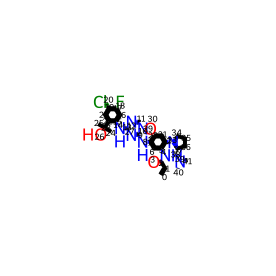 C=CC(=O)Nc1cc(Nc2ncnc(Nc3cc(F)c(Cl)cc3C(C)(C)O)n2)c(OC)cc1N1CCC[C@@H]1CN(C)C